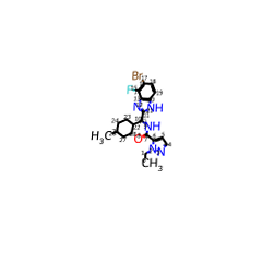 CCn1nccc1C(=O)N[C@H](c1nc2c(F)c(Br)ccc2[nH]1)C1CCC(C)CC1